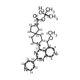 COCc1cncc2nc(-c3ccncc3)nc(N3CCC4(CCN(C(=O)OC(C)(C)C)C4)CC3)c12